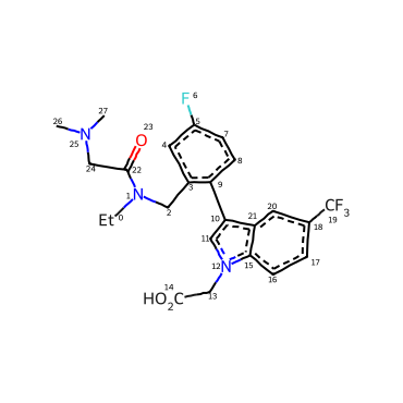 CCN(Cc1cc(F)ccc1-c1cn(CC(=O)O)c2ccc(C(F)(F)F)cc12)C(=O)CN(C)C